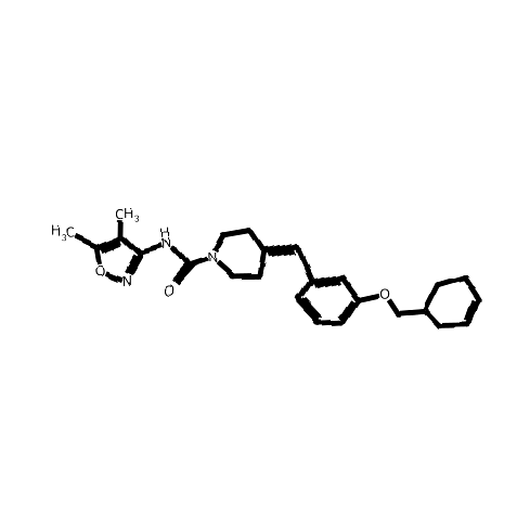 Cc1onc(NC(=O)N2CCC(=Cc3cccc(OCC4CC=CCC4)c3)CC2)c1C